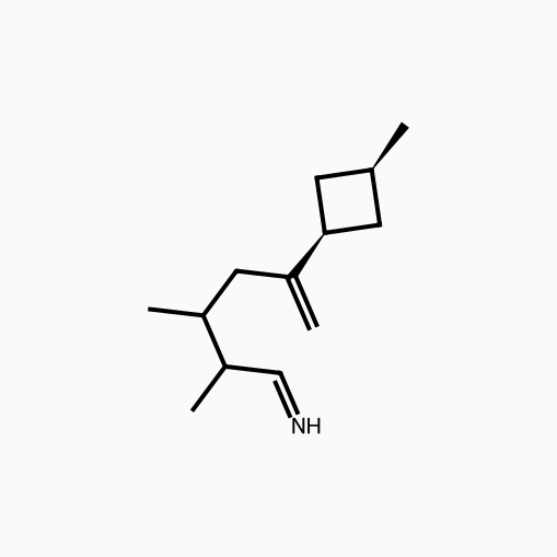 C=C(CC(C)C(C)C=N)[C@H]1C[C@@H](C)C1